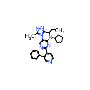 CCC1c2nnc(C)n2-c2cnc(-c3ccncc3-c3ccccc3)nc2N1C1CCCC1